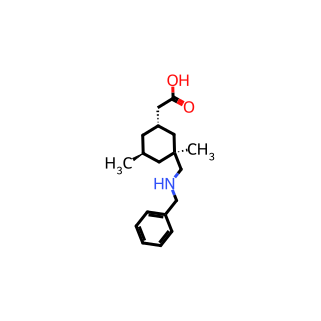 C[C@H]1C[C@H](CC(=O)O)C[C@@](C)(CNCc2ccccc2)C1